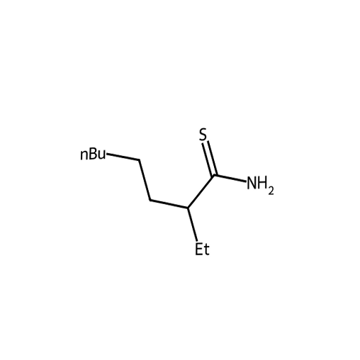 CCCCCCC(CC)C(N)=S